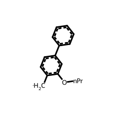 [CH2]c1ccc(-c2ccccc2)cc1OCCC